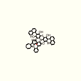 Bc1c(O)c2c(c(O)c1-c1cccc3ccccc13)Sc1c(O)c(-c3cccc4ccccc34)c(O)c(B)c1N2c1ccc(-c2ccccc2-n2c3c(c4ccccc42)C=CCC=C3)cc1